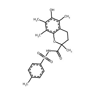 Cc1ccc(S(=O)(=O)NC(=O)C2(C)CCc3c(C)c(O)c(C)c(C)c3O2)cc1